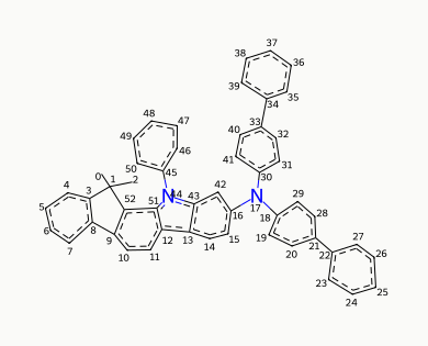 CC1(C)c2ccccc2-c2ccc3c4ccc(N(c5ccc(-c6ccccc6)cc5)c5ccc(-c6ccccc6)cc5)cc4n(-c4ccccc4)c3c21